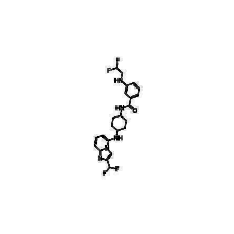 O=C(NC1CCC(Nc2cccc3nc(C(F)F)cn23)CC1)c1cccc(NCC(F)F)c1